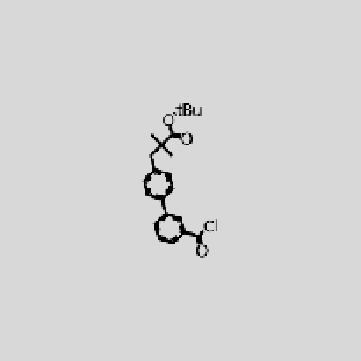 CC(C)(C)OC(=O)C(C)(C)Cc1ccc(-c2cccc(C(=O)Cl)c2)cc1